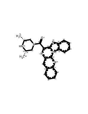 C[C@@H]1CN(C(=O)c2nc3cc4ccccc4nc3n3c2nc2ccccc23)C[C@H](C)N1